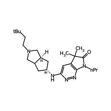 CCCN1C(=O)C(C)(C)c2cc(N[C@@H]3CC4CN(CCC(C)(C)C)C[C@H]4C3)nnc21